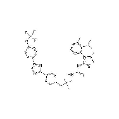 Cc1cccc(-n2c(C)cs/c2=N\C(=O)NCC(C)(C)Cc2ccc(-c3ncn(-c4ccc(OC(F)(F)F)cc4)n3)cc2)c1C(C)C